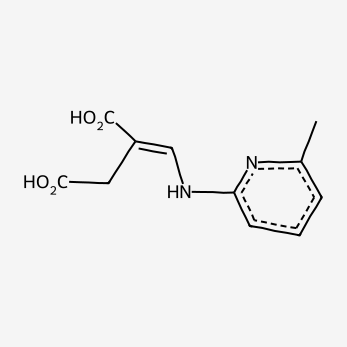 Cc1cccc(NC=C(CC(=O)O)C(=O)O)n1